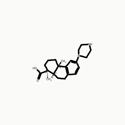 C[C@]1(C(=O)O)CCC[C@]2(C)c3cc(N4CCNCC4)ccc3CC[C@@H]12